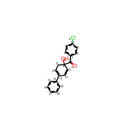 O=C(c1ccc(Cl)cc1)C1(O)C=CC(c2ccccc2)=CC1